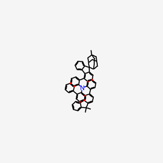 CC12CC3CC(C1)C1(c4ccccc4-c4c(-c5ccccc5N(c5ccccc5-c5ccccc5)c5ccccc5-c5ccc6c(c5)-c5ccccc5C6(C)C)cccc41)C(C3)C2